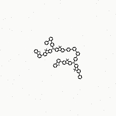 CC1(C)c2cc(-c3ccccc3)ccc2-c2ccc(N(c3ccc(-c4cccc(-c5cccc(-c6ccc(-c7ccc8c(c7)C(C)(C)c7cc(N(c9ccc(-c%10ccccc%10-c%10ccccc%10)cc9)c9ccc%10c(c9)C(C)(C)c9cc(-c%11cccc%12c%11sc%11ccccc%11%12)ccc9-%10)ccc7-8)cc6)c5)c4)cc3)c3ccc4c(c3)C(C)(C)c3cc(-c5cccc6c5sc5ccccc56)ccc3-4)cc21